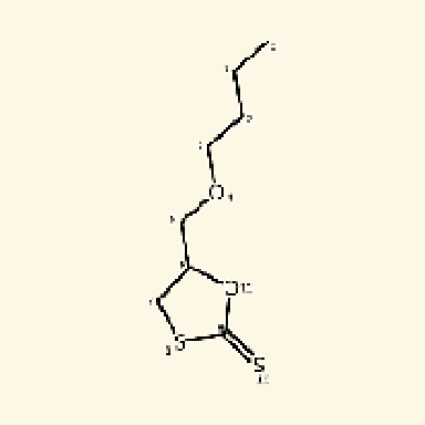 CCCCOCC1CSC(=S)O1